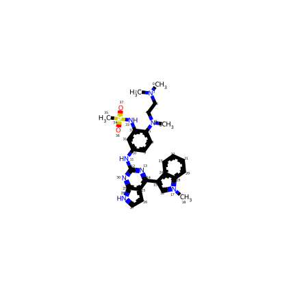 CN(C)CCN(C)c1ccc(Nc2nc(-c3cn(C)c4ccccc34)c3cc[nH]c3n2)cc1NS(C)(=O)=O